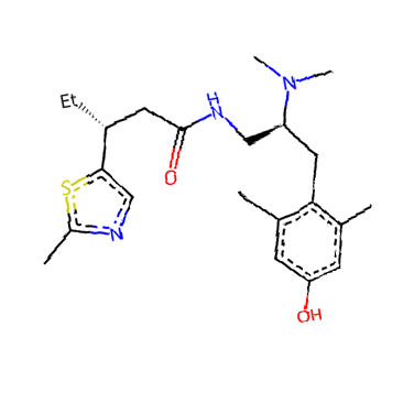 CC[C@H](CC(=O)NC[C@H](Cc1c(C)cc(O)cc1C)N(C)C)c1cnc(C)s1